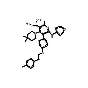 Cc1nc(Nc2ccncc2)c(-c2ccc(OCCc3ccc(F)cc3)cc2)c(N2CCC(C)(C)CC2)c1[C@H](OC(C)(C)C)C(=O)O